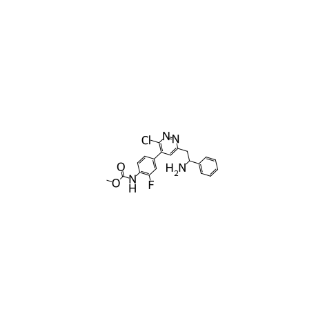 COC(=O)Nc1ccc(-c2cc(CC(N)c3ccccc3)nnc2Cl)cc1F